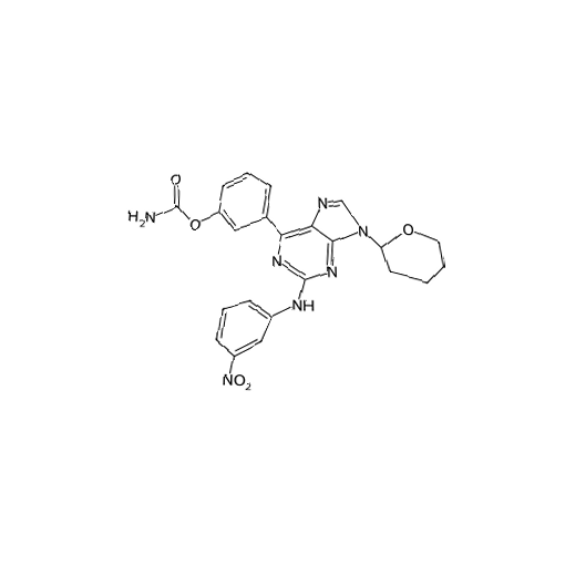 NC(=O)Oc1cccc(-c2nc(Nc3cccc([N+](=O)[O-])c3)nc3c2ncn3C2CCCCO2)c1